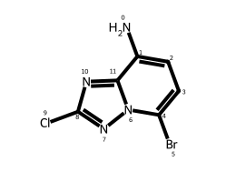 Nc1ccc(Br)n2nc(Cl)nc12